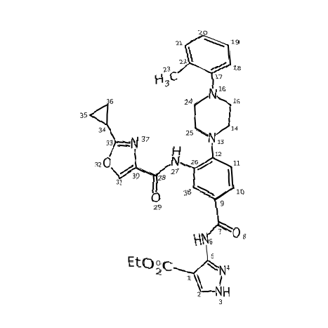 CCOC(=O)c1c[nH]nc1NC(=O)c1ccc(N2CCN(c3ccccc3C)CC2)c(NC(=O)c2coc(C3CC3)n2)c1